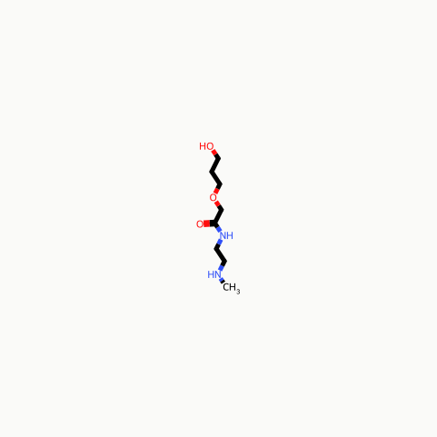 CNCCNC(=O)COCCCO